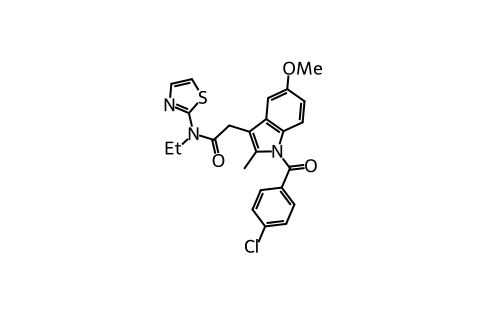 CCN(C(=O)Cc1c(C)n(C(=O)c2ccc(Cl)cc2)c2ccc(OC)cc12)c1nccs1